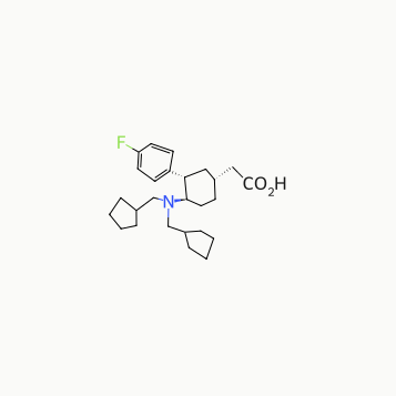 O=C(O)C[C@@H]1CC[C@@H](N(CC2CCCC2)CC2CCCC2)[C@H](c2ccc(F)cc2)C1